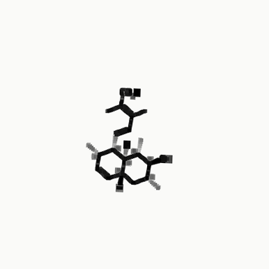 CC(C=C[C@@H]1[C@H]2[C@H](C)[C@@H](O)[C@H](C)C[C@@H]2C=C[C@@H]1C)=C(C)C(=O)O